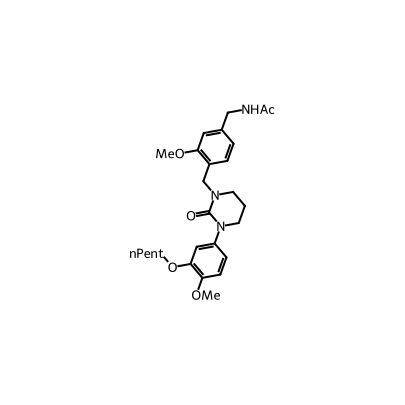 CCCCCOc1cc(N2CCCN(Cc3ccc(CNC(C)=O)cc3OC)C2=O)ccc1OC